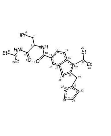 CCC(CC)NC(=O)C(CC(C)C)NC(=O)c1ccc2c(c1)nc(Cc1cccs1)n2C(CC)CC